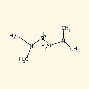 CN(C)[SiH2][SiH2]N(C)C